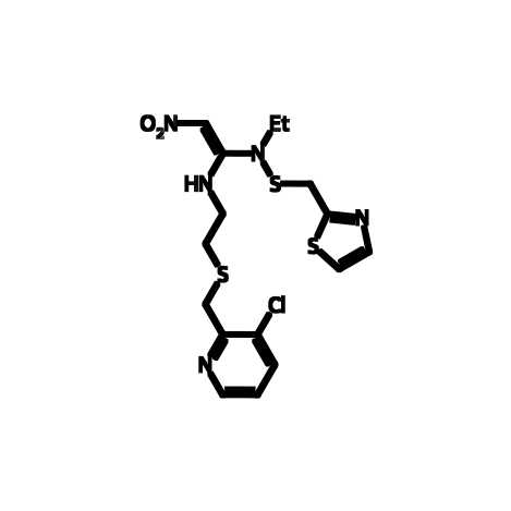 CCN(SCc1nccs1)/C(=C/[N+](=O)[O-])NCCSCc1ncccc1Cl